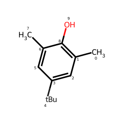 Cc1cc(C(C)(C)C)cc(C)c1O